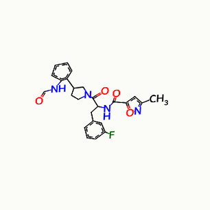 Cc1cc(C(=O)NC(Cc2cccc(F)c2)C(=O)N2CCC(c3ccccc3NC=O)C2)on1